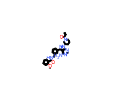 C=CC(=O)N1CCC[C@@H](n2nc(-c3cccc(CNC(=O)c4ccccc4OC)c3)c3c(N)ncnc32)C1